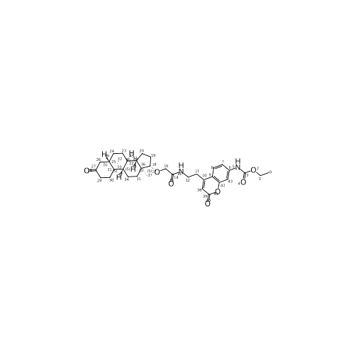 CCOC(=O)Nc1ccc2c(CCNC(=O)CO[C@H]3CC[C@H]4[C@@H]5CC[C@H]6CC(=O)CC[C@]6(C)[C@H]5CC[C@]34C)cc(=O)oc2c1